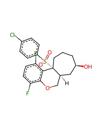 O=S(=O)(c1ccc(Cl)cc1)[C@]12CCC[C@@H](O)C[C@H]1COc1c(F)ccc(F)c12